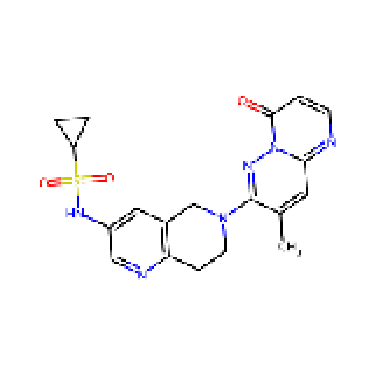 Cc1cc2nccc(=O)n2nc1N1CCc2ncc(NS(=O)(=O)C3CC3)cc2C1